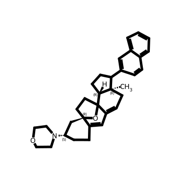 C[C@]12CC=C3C=C4CC[C@H](N5CCOCC5)C[C@]45CCC3(O5)[C@@H]1CCC2c1ccc2ccccc2c1